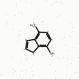 CCCc1ccc(C)c2c1CC=C2